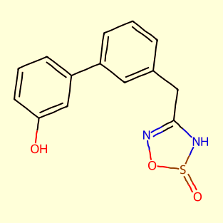 O=S1NC(Cc2cccc(-c3cccc(O)c3)c2)=NO1